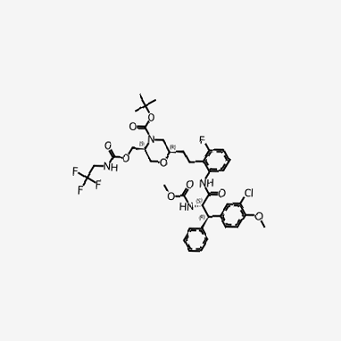 COC(=O)N[C@H](C(=O)Nc1cccc(F)c1CC[C@@H]1CN(C(=O)OC(C)(C)C)[C@H](COC(=O)NCC(F)(F)F)CO1)[C@H](c1ccccc1)c1ccc(OC)c(Cl)c1